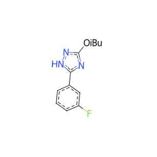 CC(C)COc1n[nH]c(-c2cccc(F)c2)n1